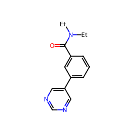 CCN(CC)C(=O)c1cccc(-c2cncnc2)c1